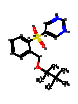 CC(C)(C)[Si](C)(C)OCc1ccccc1S(=O)(=O)c1cncnc1